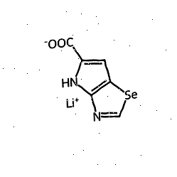 O=C([O-])c1cc2[se]cnc2[nH]1.[Li+]